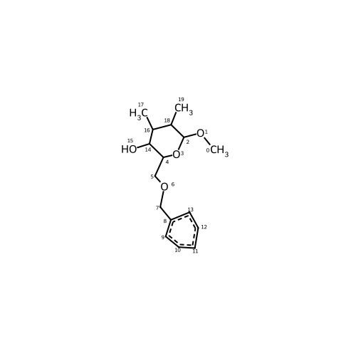 COC1OC(COCc2ccccc2)C(O)C(C)C1C